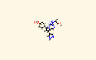 COC[C@H](C)Nc1ncc2c(-c3cnn(C)c3)cc([C@H]3CC[C@H](O)CC3)n2n1